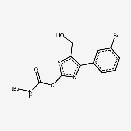 CC(C)(C)NC(=O)Oc1nc(-c2cccc(Br)c2)c(CO)s1